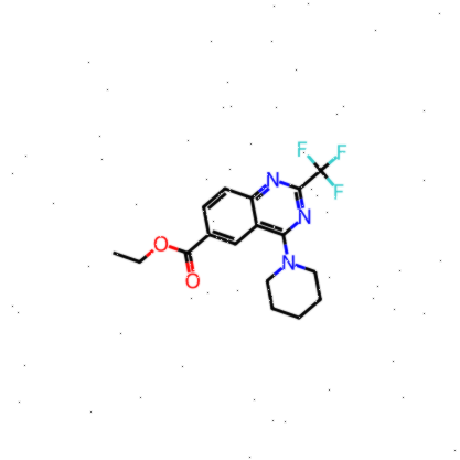 CCOC(=O)c1ccc2nc(C(F)(F)F)nc(N3CCCCC3)c2c1